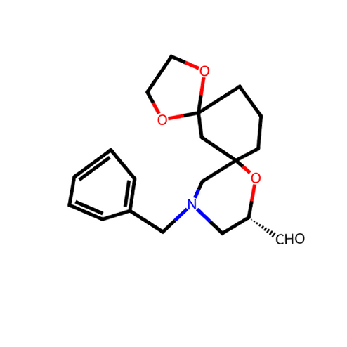 O=C[C@@H]1CN(Cc2ccccc2)CC2(CCCC3(C2)OCCO3)O1